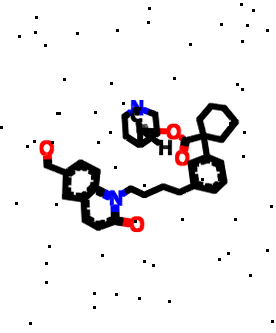 O=Cc1ccc2c(ccc(=O)n2CCCCc2cccc(C3(C(=O)O[C@H]4CN5CCC4CC5)CCCCC3)c2)c1